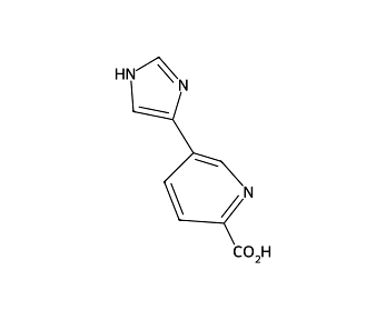 O=C(O)c1ccc(-c2c[nH]cn2)cn1